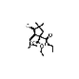 CCOC(=O)C1(C(=O)OCC)CC(C)(C)C(=O)/C1=C/N(C)C